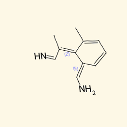 C/C(C=N)=c1\c(C)ccc\c1=C/N